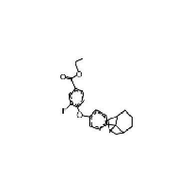 CCOC(=O)c1ccc(Oc2ccc(C3(C)C4CCCC3CCC4)cc2)c(F)c1